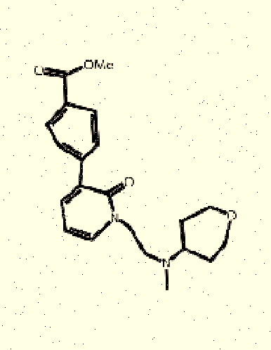 COC(=O)c1ccc(-c2cccn(CCN(C)C3CCOCC3)c2=O)cc1